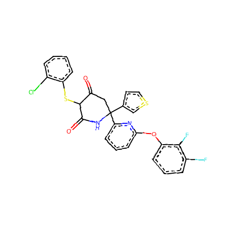 O=C1CC(c2ccsc2)(c2cccc(Oc3cccc(F)c3F)n2)NC(=O)C1Sc1ccccc1Cl